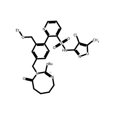 CCCC/C1=N/CCCCC(=O)N1Cc1ccc(-c2ncccc2S(=O)(=O)Nc2noc(C)c2Cl)c(COCC)c1